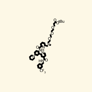 CN(CCOCCOCCOCCC(=O)OC(C)(C)C)Cc1cccc(C(=O)Nc2ccc(N3CCCCC3)cc2-c2cc(C(=O)NCc3cccc(C(F)(F)F)c3)ccn2)n1